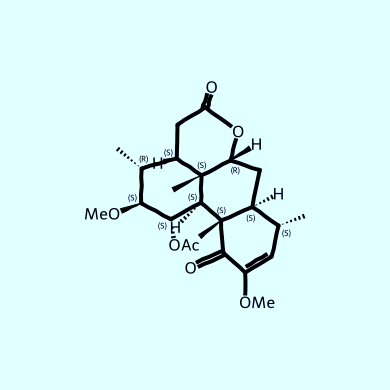 COC1=C[C@@H](C)[C@@H]2C[C@H]3OC(=O)C[C@H]4[C@@H](C)[C@H](OC)[C@@H](OC(C)=O)[C@H]([C@@]2(C)C1=O)[C@@]34C